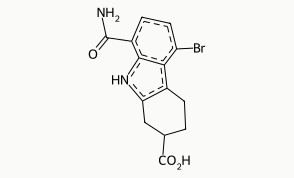 NC(=O)c1ccc(Br)c2c3c([nH]c12)CC(C(=O)O)CC3